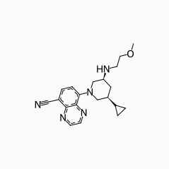 COCCN[C@H]1C[C@@H](C2CC2)CN(c2ccc(C#N)c3nccnc23)C1